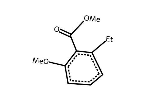 CCc1cccc(OC)c1C(=O)OC